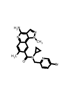 Cc1cc2nc(N)c3cnn(C)c3c2cc1C(=O)N(Cc1ccc(Br)cn1)C1CC1